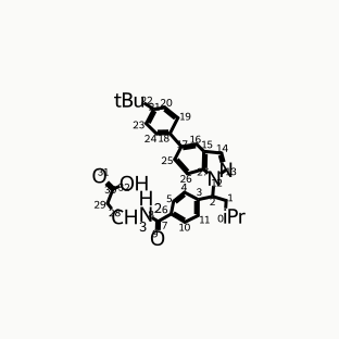 CC(C)CC(c1ccc(C(N)=O)cc1)n1ncc2cc(-c3ccc(C(C)(C)C)cc3)ccc21.CCC(=O)O